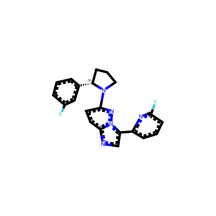 Fc1cccc([C@@H]2CCCN2c2ccc3ncc(-c4cccc(F)n4)n3n2)c1